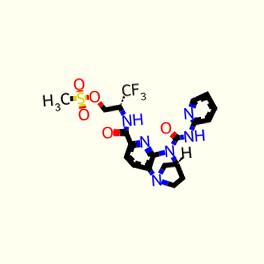 CS(=O)(=O)OC[C@@H](NC(=O)c1ccc2c(n1)N(C(=O)Nc1ccccn1)[C@H]1CCN2C1)C(F)(F)F